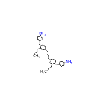 CCCCc1cc(CCCCc2ccc(Cc3ccc(N)cc3)c(CCCC)c2)ccc1Cc1ccc(N)cc1